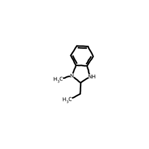 CCC1Nc2ccccc2N1C